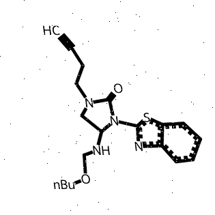 C#CCCN1CC(NCOCCCC)N(c2nc3ccccc3s2)C1=O